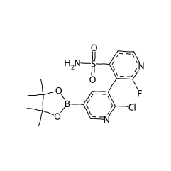 CC1(C)OB(c2cnc(Cl)c(-c3c(S(N)(=O)=O)ccnc3F)c2)OC1(C)C